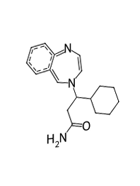 NC(=O)CC(C1CCCCC1)N1C=CN=c2ccccc2=C1